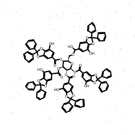 O=C(O[C@@H]1O[C@H](COC(O)c2cc(O)c3c(c2)OC(c2ccccc2)(c2ccccc2)O3)[C@@H](OC(=O)c2cc(O)c3c(c2)OC(c2ccccc2)(c2ccccc2)O3)[C@H](OC(=O)c2cc(O)c3c(c2)OC(c2ccccc2)(c2ccccc2)O3)[C@H]1OC(=O)c1cc(O)c2c(c1)OC(c1ccccc1)(c1ccccc1)O2)c1cc(O)c2c(c1)OC(c1ccccc1)(c1ccccc1)O2